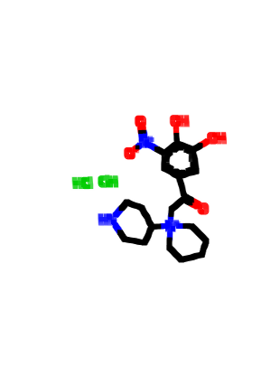 Cl.Cl.O=C(C[N+]1(C2CCNCC2)CCCCC1)c1cc(O)c(O)c([N+](=O)[O-])c1